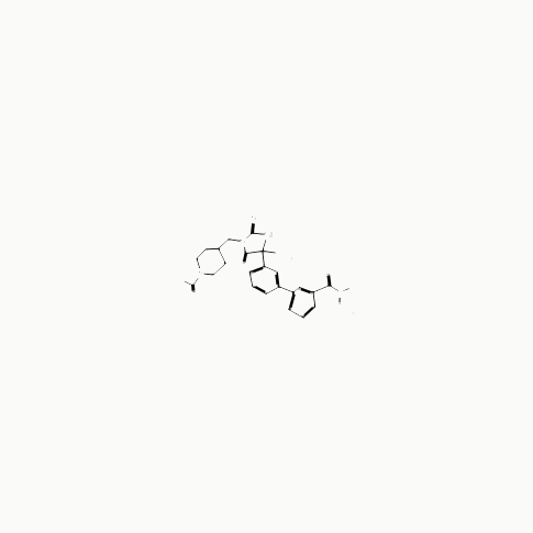 CC(=O)N1CCC(CN2C(=N)NC(C)(c3cccc(-c4cccc(C(=O)N(C)C)c4)c3)C2=O)CC1